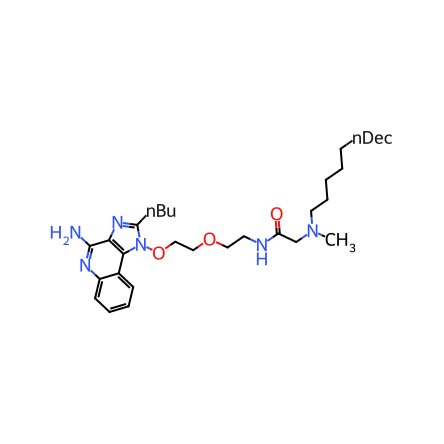 CCCCCCCCCCCCCCCN(C)CC(=O)NCCOCCOn1c(CCCC)nc2c(N)nc3ccccc3c21